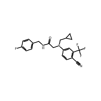 N#Cc1ccc(N(CC(=O)NCc2ccc(F)cc2)CC2CC2)cc1C(F)(F)F